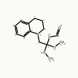 COC(CN1CCCc2ccccc21)(OC)OC=O